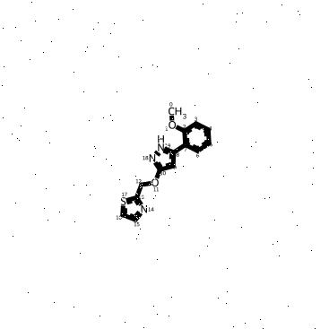 COc1ccccc1-c1cc(OCc2nccs2)n[nH]1